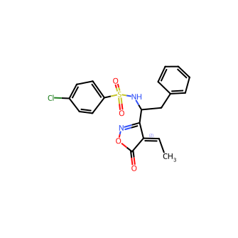 C/C=C1\C(=O)ON=C1C(Cc1ccccc1)NS(=O)(=O)c1ccc(Cl)cc1